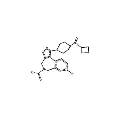 CCC(=O)N1Cc2cc(Cl)ccc2-n2c(nnc2C2CCN(C(=O)C3CCC3)CC2)C1